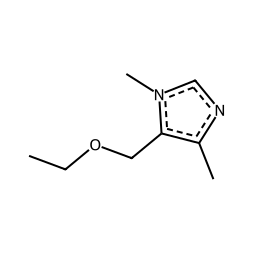 CCOCc1c(C)ncn1C